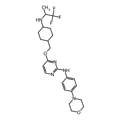 CC(NC1CCC(COc2ccnc(Nc3ccc(N4CCOCC4)cc3)n2)CC1)C(F)(F)F